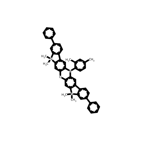 Cc1ccc(N2c3cc4c(cc3Oc3cc5c(cc32)-c2ccc(-c3ccccc3)cc2[Si]5(C)C)[Si](C)(C)c2cc(-c3ccccc3)ccc2-4)c(C)c1